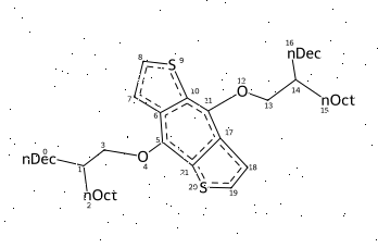 CCCCCCCCCCC(CCCCCCCC)COc1c2ccsc2c(OCC(CCCCCCCC)CCCCCCCCCC)c2ccsc12